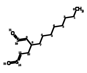 CCCCCCCCC(C=S=O)CC=S=O